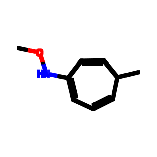 CONC1=CC=CC(C)C=C1